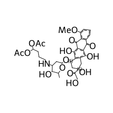 COc1cccc2c1C(=O)c1c(O)c3c(c(O)c1C2=O)C[C@@](O)(C(=O)CO)C[C@@H]3OC1CC(NCCCC(OC(C)=O)OC(C)=O)C(O)C(C)O1